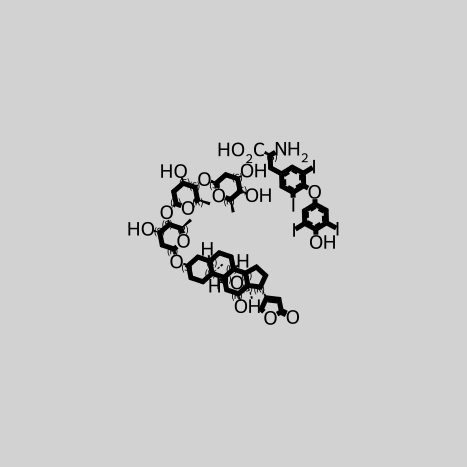 C[C@H]1O[C@@H](O[C@H]2[C@@H](O)C[C@H](O[C@H]3[C@@H](O)C[C@H](O[C@H]4CC[C@@]5(C)[C@H](CC[C@@H]6[C@@H]5C[C@@H](O)[C@]5(C)[C@@H](C7=CC(=O)OC7)CC[C@]65O)C4)O[C@@H]3C)O[C@@H]2C)C[C@H](O)[C@@H]1O.N[C@@H](Cc1cc(I)c(Oc2cc(I)c(O)c(I)c2)c(I)c1)C(=O)O